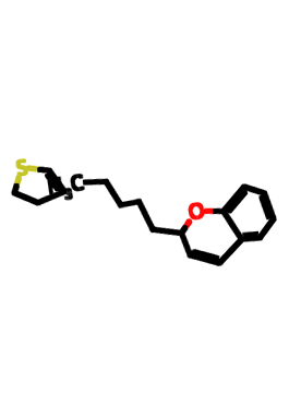 C1=CSCC1.CCCCCC1C=Cc2ccccc2O1